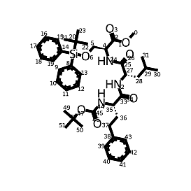 COC(=O)[C@H](CO[Si](c1ccccc1)(c1ccccc1)C(C)(C)C)NC(=O)[C@H](CC(C)C)NC(=O)[C@H](CCc1ccccc1)NC(=O)OC(C)(C)C